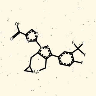 CCc1c(-c2ccc(F)c(C(F)(F)F)c2)nn(-c2nc(C(=O)O)cs2)c1CC1CC1